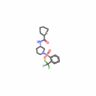 O=C(N[C@H]1CCCN(S(=O)(=O)c2ccccc2C(F)(F)F)C1)C1CCCCC1